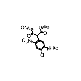 COC(=O)C(C(=O)OC)c1cc(NC(C)=O)c(Cl)cc1[N+](=O)[O-]